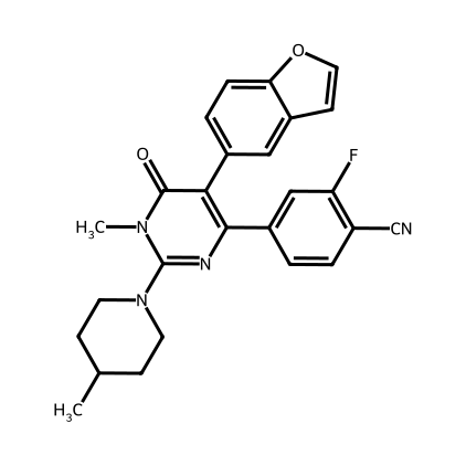 CC1CCN(c2nc(-c3ccc(C#N)c(F)c3)c(-c3ccc4occc4c3)c(=O)n2C)CC1